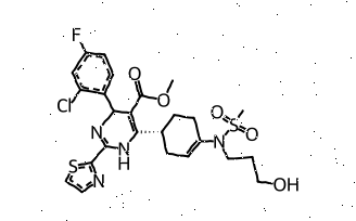 COC(=O)C1=C([C@H]2CC=C(N(CCCO)S(C)(=O)=O)CC2)NC(c2nccs2)=NC1c1ccc(F)cc1Cl